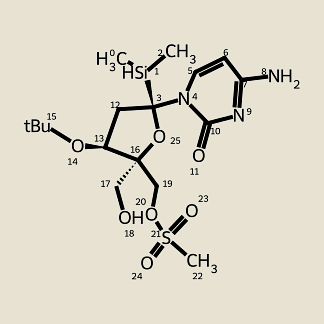 C[SiH](C)[C@]1(n2ccc(N)nc2=O)C[C@H](OC(C)(C)C)[C@](CO)(COS(C)(=O)=O)O1